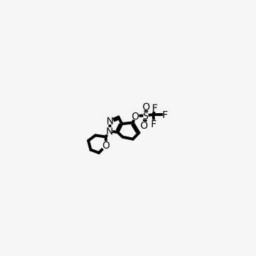 O=S(=O)(OC1=CCCc2c1cnn2C1CCCCO1)C(F)(F)F